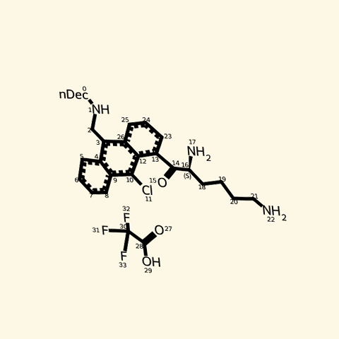 CCCCCCCCCCNCc1c2ccccc2c(Cl)c2c(C(=O)[C@@H](N)CCCCN)cccc12.O=C(O)C(F)(F)F